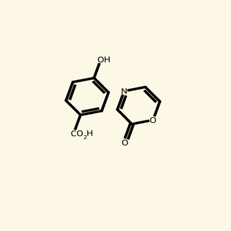 O=C(O)c1ccc(O)cc1.O=c1cncco1